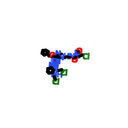 O=NN(CCCl)C(=O)NCCCn1cnc2c(OCc3ccccc3)nc(N=Nc3cccc(NCCCl)c3NCCCl)nc21